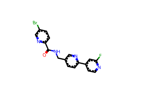 O=C(NCc1ccc(-c2ccnc(F)c2)nc1)c1ccc(Br)cn1